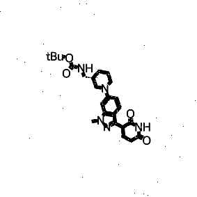 Cn1nc(C2CCC(=O)NC2=O)c2ccc(N3CCC[C@@H](CNC(=O)OC(C)(C)C)C3)cc21